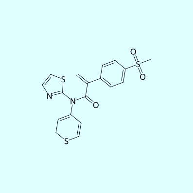 C=C(C(=O)N(C1=CCSC=C1)c1nccs1)c1ccc(S(C)(=O)=O)cc1